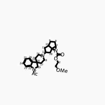 COCCOC(=O)N1C2CCC3CC(N4CCC5(CC4)CN(C(C)=O)c4ccccc45)CC321